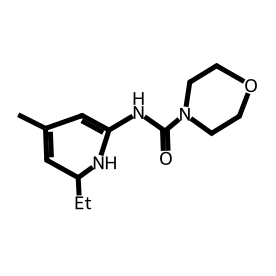 CCC1C=C(C)C=C(NC(=O)N2CCOCC2)N1